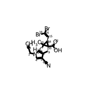 C#CCn1cc(C#N)c(C[C@@]2(C(=O)O)[C@H](C=C(Br)Br)C2(C)C)c1